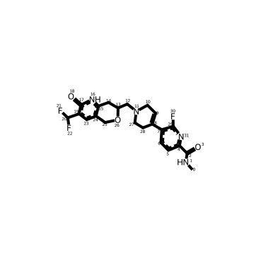 CNC(=O)c1ccc(C2=CCN(CC3Cc4[nH]c(=O)c(C(F)F)cc4CO3)CC2)c(F)n1